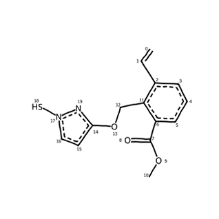 C=Cc1cccc(C(=O)OC)c1COc1ccn(S)n1